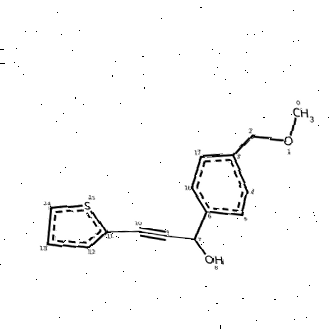 COCc1ccc(C(O)C#Cc2cccs2)cc1